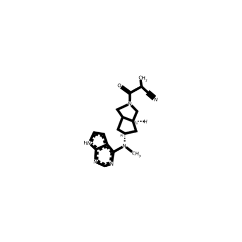 CC(C#N)C(=O)N1CC2C[C@@H](N(C)c3ncnc4[nH]ccc34)C[C@@H]2C1